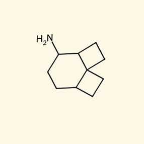 NC1CCC2CCC23CCC13